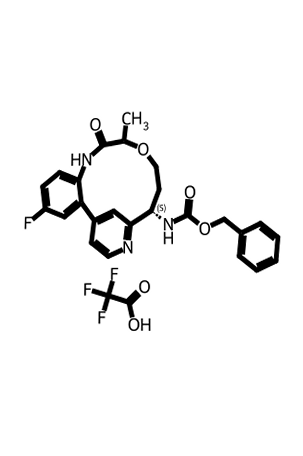 CC1OCC[C@H](NC(=O)OCc2ccccc2)c2cc(ccn2)-c2cc(F)ccc2NC1=O.O=C(O)C(F)(F)F